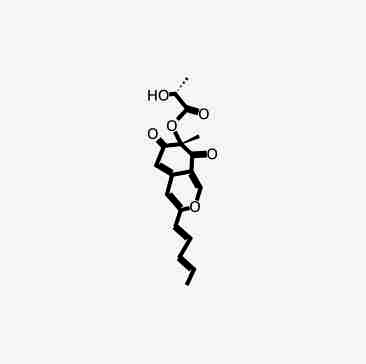 C/C=C/C=C/C1=CC2=CC(=O)[C@](C)(OC(=O)[C@@H](C)O)C(=O)C2=CO1